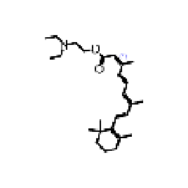 CCN(CC)CCOC(=O)/C=C(/C)C=CC=C(C)C=CC1=C(C)CCCC1(C)C